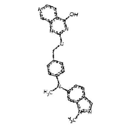 CN(c1ccc(COc2nc(O)c3ccncc3n2)cc1)c1ccc2cnn(C)c2c1